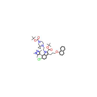 Cc1nn(C)c(C)c1-c1c(Cl)ccc2c(CCCOc3cccc4ccccc34)c(C(=O)OC(C)(C)C)n(CCN3CCN(C(=O)OC(C)(C)C)CC34CC4)c12